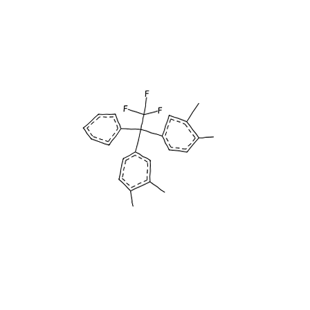 Cc1ccc(C(c2ccccc2)(c2ccc(C)c(C)c2)C(F)(F)F)cc1C